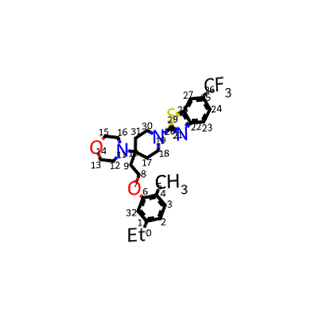 CCc1ccc(C)c(OCCC2(N3CCOCC3)CCN(c3nc4ccc(C(F)(F)F)cc4s3)CC2)c1